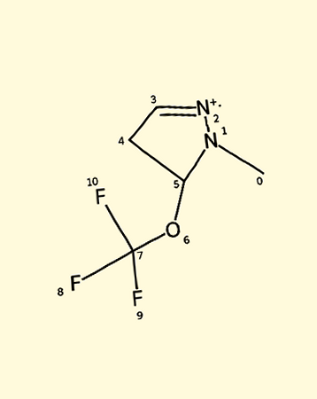 CN1[N+]=CCC1OC(F)(F)F